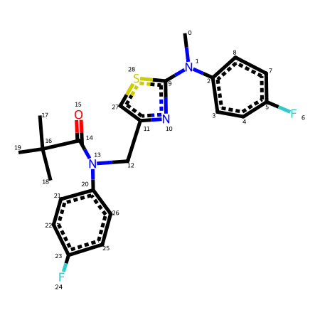 CN(c1ccc(F)cc1)c1nc(CN(C(=O)C(C)(C)C)c2ccc(F)cc2)cs1